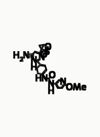 COc1ccc(NC(=O)NC2=CC=C(C3=NC(C4(S(C)(=O)=O)CC4)=C[C@@H](N)N3)CC2)cn1